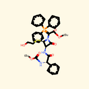 CC(C)(C)OC(=O)N[C@H](C(=O)N[C@@H]1C(=O)N(C(C(=O)OC(C)(C)C)=P(c2ccccc2)(c2ccccc2)c2ccccc2)[C@@H]1SCCO)c1ccccc1